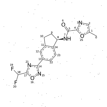 Cc1cnc(C(=O)N[C@@H]2CCc3cc(-c4noc(C(F)F)n4)ccc32)o1